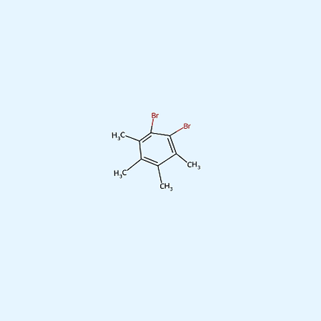 Cc1c(C)c(C)c(Br)c(Br)c1C